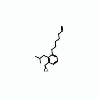 C=CCCCCCc1cccc(C=O)c1CC(C)C